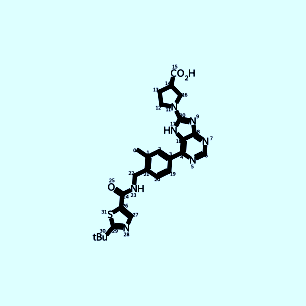 Cc1cc(-c2ncnc3nc(N4CCC(C(=O)O)C4)[nH]c23)ccc1CNC(=O)c1cnc(C(C)(C)C)s1